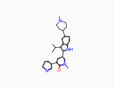 CC(C)c1c(-c2cc(-c3cccnc3)c(=O)n(C)c2)[nH]c2ccc(C3CCN(C)CC3)cc12